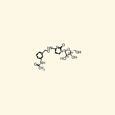 CC(=O)Nc1cccc(CONc2ccn([C@@H]3O[C@H](CO)[C@@H](O)[C@H]3O)c(=O)n2)c1